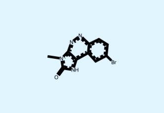 Cn1c(=O)[nH]c2c3cc(Br)ccc3nnc21